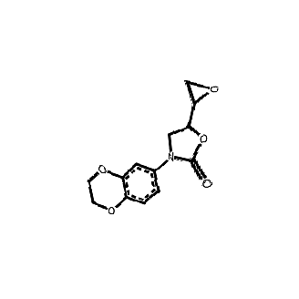 O=C1OC(C2CO2)CN1c1ccc2c(c1)OCCO2